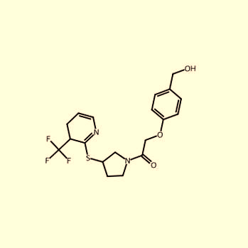 O=C(COc1ccc(CO)cc1)N1CCC(SC2=NC=CCC2C(F)(F)F)C1